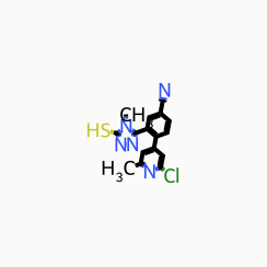 Cc1cc(-c2ccc(C#N)cc2-c2nnc(S)n2C)cc(Cl)n1